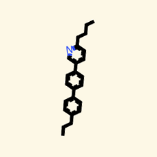 CCCCc1ccc(-c2ccc(-c3ccc(CCC)cc3)cc2)cn1